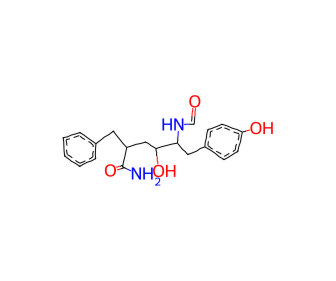 NC(=O)C(Cc1ccccc1)CC(O)C(Cc1ccc(O)cc1)NC=O